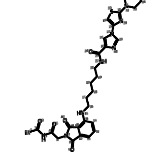 CCC(=O)NC(=O)CN1C(=O)c2cccc(NCCCCCCNC(=O)c3cn(-c4csc(N5CCOCC5)n4)cn3)c2C1=O